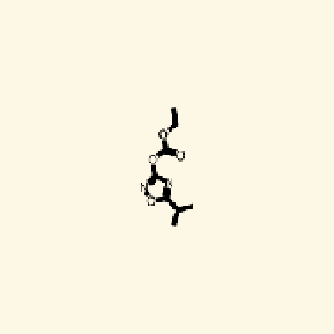 CCOC(=O)Oc1noc(C(C)C)n1